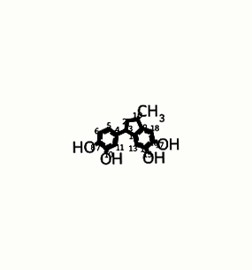 CC1CC(c2ccc(O)c(O)c2)c2cc(O)c(O)cc21